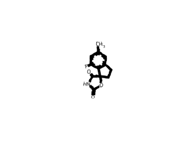 Cc1cc(F)c2c(c1)CCC21OC(=O)NC1=O